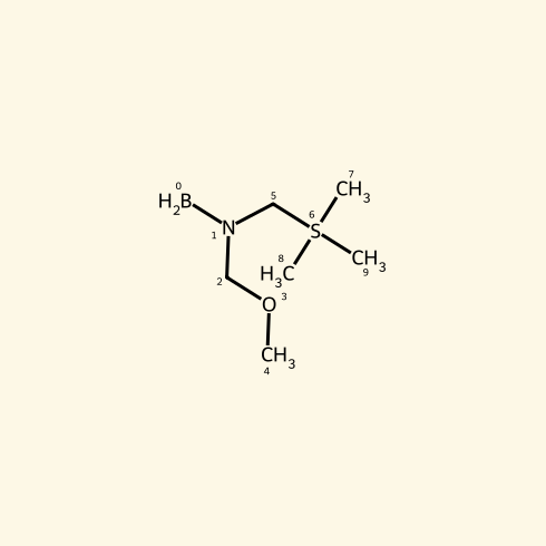 BN(COC)CS(C)(C)C